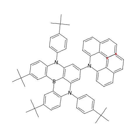 CC(C)(C)c1ccc(N2c3ccc(C(C)(C)C)cc3B3c4cc(C(C)(C)C)ccc4N(c4ccc(C(C)(C)C)cc4)c4cc(N(c5cccc6ccccc56)c5cccc6ccccc56)cc2c43)cc1